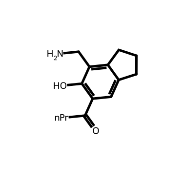 CCCC(=O)c1cc2c(c(CN)c1O)CCC2